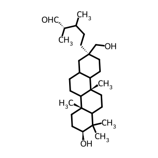 CC(CC[C@]1(CO)CCC2C(CCC3[C@@]2(C)CCC2C(C)(C)[C@@H](O)CC[C@@]23C)C1)[C@H](C)C=O